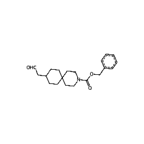 O=CCC1CCC2(CC1)CCN(C(=O)OCc1ccccc1)CC2